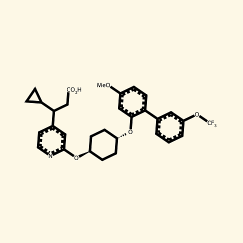 COc1ccc(-c2cccc(OC(F)(F)F)c2)c(O[C@H]2CC[C@H](Oc3cc(C(CC(=O)O)C4CC4)ccn3)CC2)c1